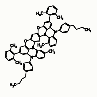 CCCCc1ccc(N2c3ccc(C)cc3B3c4cc5c(cc4Oc4cc(-c6c(C)cccc6C)cc2c43)Oc2cc(-c3c(C)cccc3C)cc3c2B5c2c(C)cccc2N3c2ccc(CCCC)cc2)cc1